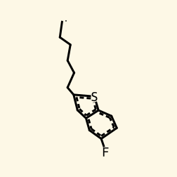 [CH2]CCCCCc1cc2cc(F)ccc2s1